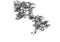 CC[C@H](C)[C@H](NC(=O)[C@@H](NC(=O)[C@H](CC(C)C)NC(=O)[C@@H](NC(=O)[C@H](Cc1ccccc1)NC(=O)[C@H](CCC(N)=O)NC(=O)[C@@H](NC(=O)CNC(=O)[C@H](CO)NC(=O)CNC(=O)[C@H](CO)NC(=O)CNC(=O)[C@H](CCCCN)NC(=O)[C@H](Cc1ccccc1)NC(=O)[C@H](CCCNC(=N)N)NC(=O)[C@H](CO)NC(=O)[C@@H]1CCCN1)[C@@H](C)O)[C@@H](C)O)[C@@H](C)O)C(=O)N[C@@H](CC(N)=O)C(=O)N[C@@H](CC(=O)O)C(=O)N[C@H](C(=O)O)C(C)C